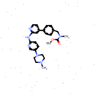 CN1CCN(c2ccc(Nc3cc(-c4ccc(CN(C)C(=O)OC(C)(C)C)cc4)ccn3)nc2)CC1